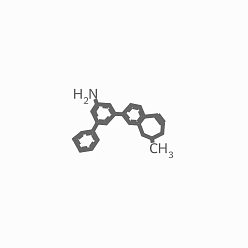 CC1CC#Cc2ccc(-c3cc(N)cc(-c4ccccc4)c3)cc2C1